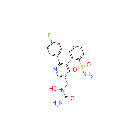 NC(=O)N(O)Cc1cnc(-c2ccc(F)cc2)c(-c2ccccc2S(N)(=O)=O)c1